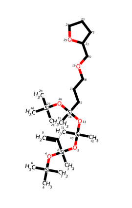 C=C[Si](C)(O[Si](C)(C)C)O[Si](C)(C)O[Si](C)(CCCOCC1CCCO1)O[Si](C)(C)C